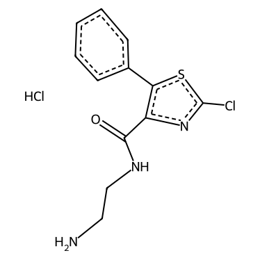 Cl.NCCNC(=O)c1nc(Cl)sc1-c1ccccc1